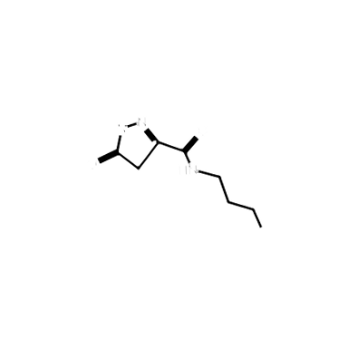 CCCCNC(=O)C1=NNC(=O)C1